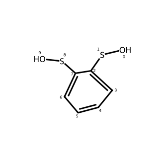 OSc1ccccc1SO